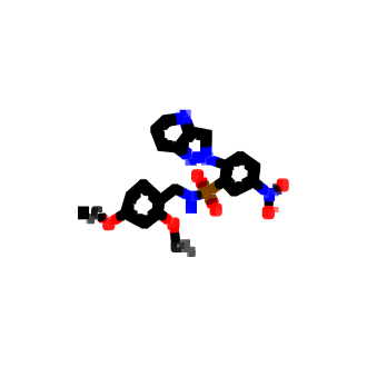 COc1ccc(CNS(=O)(=O)c2cc([N+](=O)[O-])ccc2-n2cc3ncccc3n2)c(OC)c1